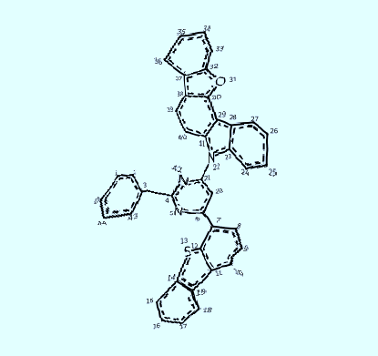 c1ccc(-c2nc(-c3cccc4c3sc3ccccc34)cc(-n3c4ccccc4c4c5oc6ccccc6c5ccc43)n2)cc1